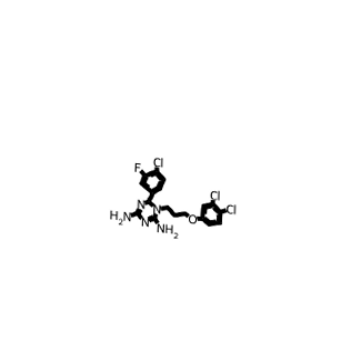 NC1=NC(c2ccc(Cl)c(F)c2)N(CCCOc2ccc(Cl)c(Cl)c2)C(N)=N1